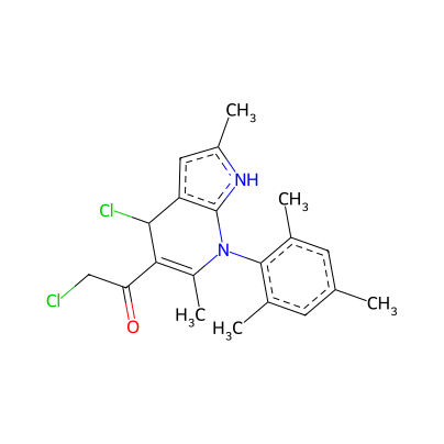 CC1=C(C(=O)CCl)C(Cl)c2cc(C)[nH]c2N1c1c(C)cc(C)cc1C